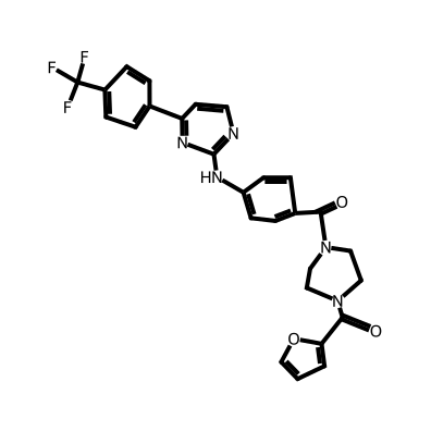 O=C(c1ccc(Nc2nccc(-c3ccc(C(F)(F)F)cc3)n2)cc1)N1CCN(C(=O)c2ccco2)CC1